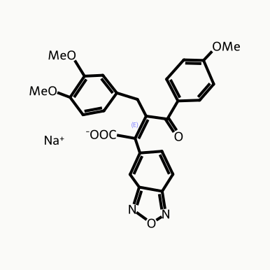 COc1ccc(C(=O)/C(Cc2ccc(OC)c(OC)c2)=C(/C(=O)[O-])c2ccc3nonc3c2)cc1.[Na+]